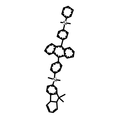 CC1(C)c2cc([Si](C)(C)c3ccc(-c4c5ccccc5c(-c5ccc([Si](C)(C)c6ccccc6)cc5)c5ccccc45)cc3)ccc2C2C=CC=CC21